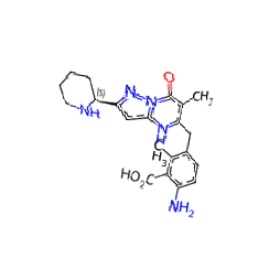 Cc1c(Cc2[nH]c3cc([C@@H]4CCCCN4)nn3c(=O)c2C)ccc(N)c1C(=O)O